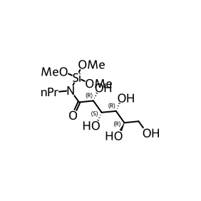 CCCN(C(=O)[C@H](O)[C@@H](O)[C@H](O)[C@H](O)CO)[Si](OC)(OC)OC